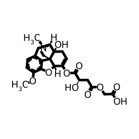 COc1ccc2c3c1O[C@H]1C(OC(=O)[C@@H](O)CC(=O)OCC(=O)O)=CC[C@@]4(O)[C@@H](C2)N(C)CC[C@]314